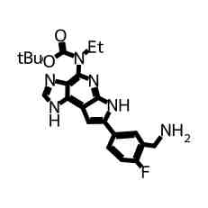 CCN(C(=O)OC(C)(C)C)c1nc2[nH]c(-c3ccc(F)c(CN)c3)cc2c2[nH]cnc12